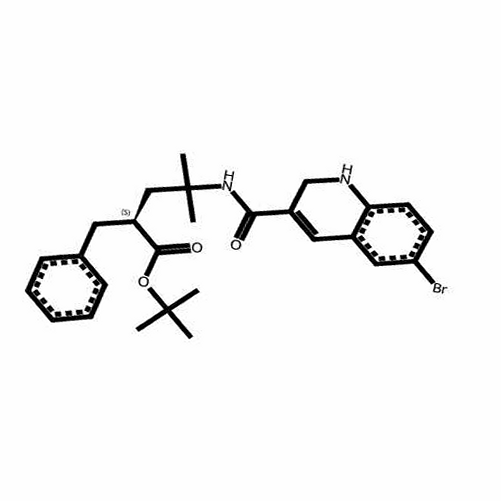 CC(C)(C[C@H](Cc1ccccc1)C(=O)OC(C)(C)C)NC(=O)C1=Cc2cc(Br)ccc2NC1